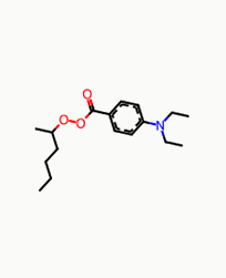 CCCCC(C)OOC(=O)c1ccc(N(CC)CC)cc1